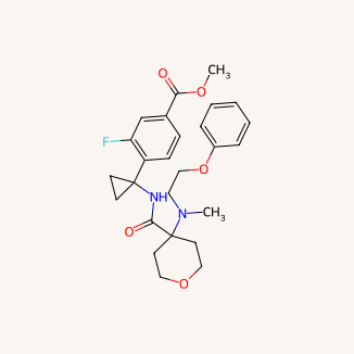 COC(=O)c1ccc(C2(NC(=O)C3(N(C)CCOc4ccccc4)CCOCC3)CC2)c(F)c1